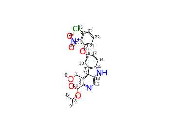 COCc1c(C(=O)OC(C)C)ncc2[nH]c3ccc(Oc4cccc(Cl)c4[N+](=O)[O-])cc3c12